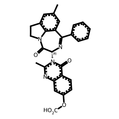 Cc1cc2c3c(c1)C(c1ccccc1)=N[C@H](n1c(C)nc4cc(OC(=O)O)ccc4c1=O)C(=O)N3CC2